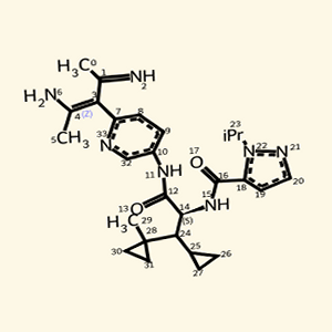 CC(=N)/C(=C(/C)N)c1ccc(NC(=O)[C@@H](NC(=O)c2ccnn2C(C)C)C(C2CC2)C2(C)CC2)cn1